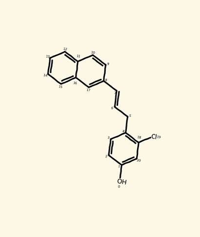 Oc1ccc(CC=Cc2ccc3ccccc3c2)c(Cl)c1